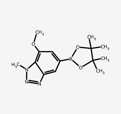 COc1cc(B2OC(C)(C)C(C)(C)O2)cc2nnn(C)c12